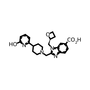 O=C(O)c1ccc2nc(CN3CCC(c4cccc(O)n4)CC3)n(C[C@@H]3CCO3)c2c1